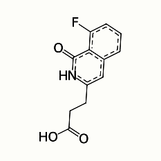 O=C(O)CCc1cc2cccc(F)c2c(=O)[nH]1